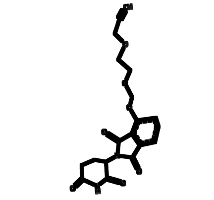 C#CCOCCOCOc1cccc2c1C(=O)N(C1CCC(=O)NC1=O)C2=O